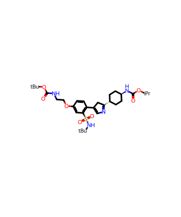 CC(C)OC(=O)N[C@H]1CC[C@H](C2=NC=C(c3ccc(OCCNC(=O)OC(C)(C)C)cc3S(=O)(=O)NC(C)(C)C)C2)CC1